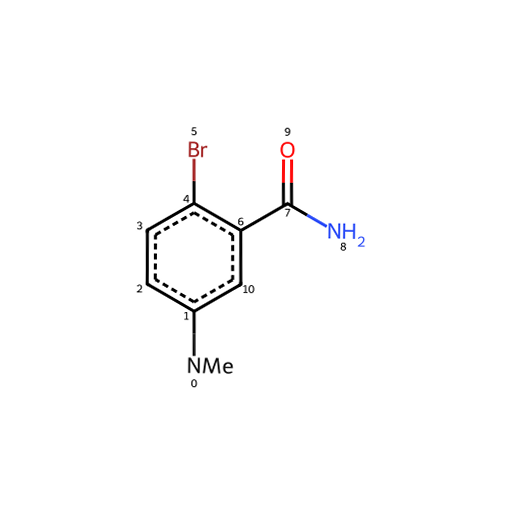 CNc1ccc(Br)c(C(N)=O)c1